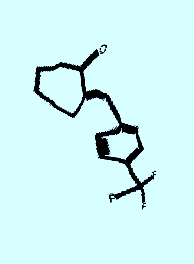 O=C1CCCCC/C1=C\c1ccc(C(F)(F)F)cc1